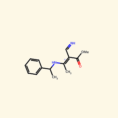 COC(=O)/C(C=N)=C(\C)NC(C)c1ccccc1